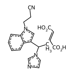 CC(c1cn(CCC#N)c2ccccc12)n1ccnc1.O=C(O)/C=C/C(=O)O